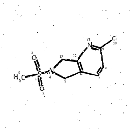 CS(=O)(=O)N1Cc2ccc(Cl)nc2C1